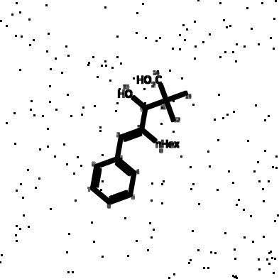 CCCCCC/C(=C\c1ccccc1)C(O)C(C)(C)C(=O)O